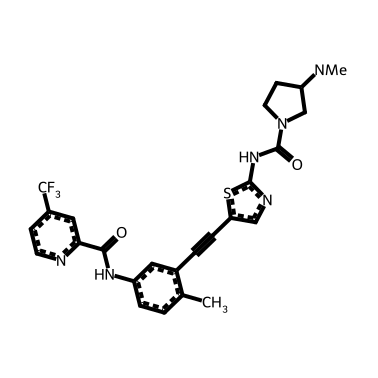 CNC1CCN(C(=O)Nc2ncc(C#Cc3cc(NC(=O)c4cc(C(F)(F)F)ccn4)ccc3C)s2)C1